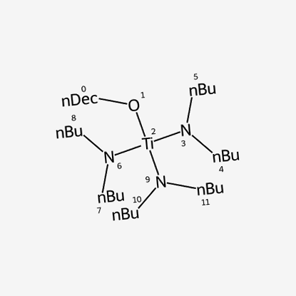 CCCCCCCCCC[O][Ti]([N](CCCC)CCCC)([N](CCCC)CCCC)[N](CCCC)CCCC